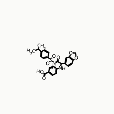 CC(C)c1ccc(S(=O)(=O)NC(=O)C(Nc2ccc(C(=O)O)cc2)c2ccc3c(c2)OCO3)cc1